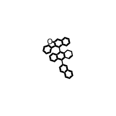 C1=Cc2c(c(-c3c4ccccc4cc4oc5ccccc5c34)c3ccccc3c2-c2ccc3ccccc3c2)CC1